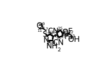 N#Cc1c(N)nc(SCC2COC2)c(C#N)c1-c1ccc(OC(F)(F)CO)cc1